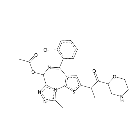 CC(=O)OC1N=C(c2ccccc2Cl)c2cc(C(C)C(=O)C3CNCCO3)sc2-n2c(C)nnc21